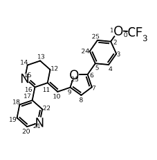 FC(F)(F)Oc1ccc(-c2ccc(C=C3CCCN=C3c3cccnc3)o2)cc1